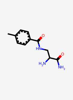 Cc1ccc(C(=O)NCC(N)C(N)=O)cc1